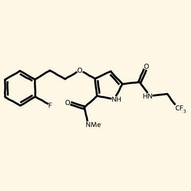 CNC(=O)c1[nH]c(C(=O)NCC(F)(F)F)cc1OCCc1ccccc1F